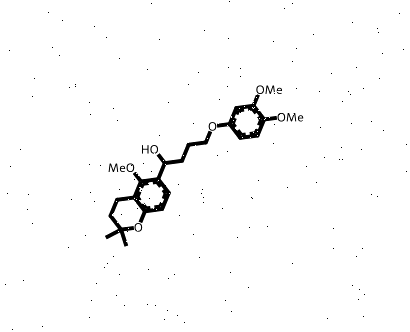 COc1ccc(OCCCC(O)c2ccc3c(c2OC)CCC(C)(C)O3)cc1OC